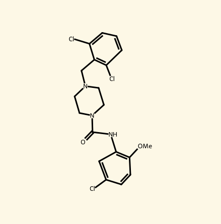 COc1ccc(Cl)cc1NC(=O)N1CCN(Cc2c(Cl)cccc2Cl)CC1